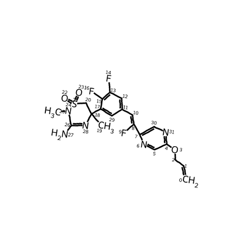 C=CCOc1cnc(C(F)=Cc2cc(F)c(F)c(C3(C)CS(=O)(=O)N(C)C(N)=N3)c2)cn1